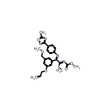 C=CCOc1cc(COC)cc(C(=N\c2ccc(-c3noc(C)n3)cc2)/C(=N/C(=O)OC)SC)c1